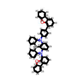 c1ccc2c(c1)B1c3ccccc3N(c3cccc4c3oc3ccccc34)c3cccc(c31)N2c1ccc(-c2cccc3c2oc2ccccc23)cc1